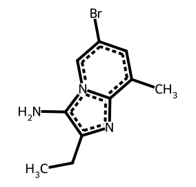 CCc1nc2c(C)cc(Br)cn2c1N